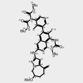 C=C1CCC(OC)Cn2nc(Nc3cc4cc(-c5cncc(N(C(=O)OC(C)(C)C)C(=O)OC(C)(C)C)c5C)c(F)c(NC(=O)OC(C)(C)C)c4cn3)cc21